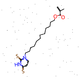 C=C(C)C(=O)OCCCCCCCCCCCCn1ccc(=S)[nH]c1=S